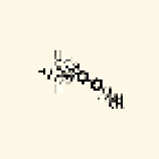 CNC(=O)Oc1ccc(-c2ccc(S(=O)(=O)N[C@@H](C(=O)O)C(C)C)cc2)cc1